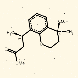 COC(=O)C[C@@H](C)c1cccc2c1OCC[C@]2(C)C(=O)O